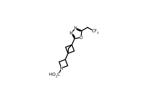 O=C(O)N1CC(C23CC(c4nnc(CC(F)(F)F)o4)(C2)C3)C1